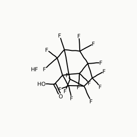 F.O=C(O)C12C(F)(F)C3(F)C(F)(F)C(F)(C(F)(F)C(F)(C3(F)F)C1(F)F)C2(F)F